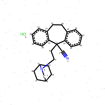 Cl.N#CC1(CCN2CC3CCC2CC3)c2ccccc2CCc2ccccc21